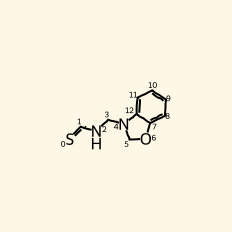 S=[C]NCN1COc2ccccc21